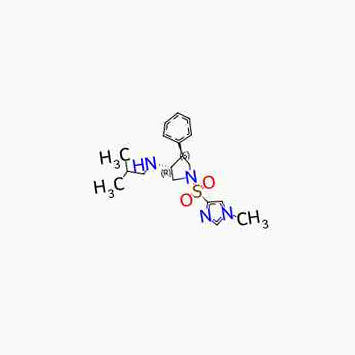 CC(C)CN[C@H]1CN(S(=O)(=O)c2cn(C)cn2)C[C@@H]1c1ccccc1